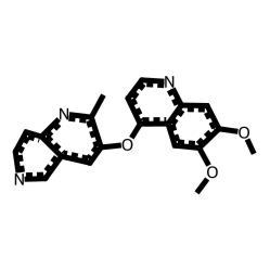 COc1cc2nccc(Oc3cc4cnccc4nc3C)c2cc1OC